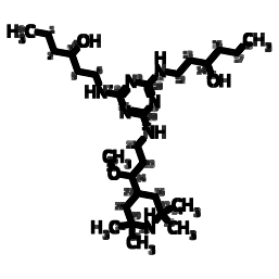 CCCC(O)CCNc1nc(NCCC(O)CCC)nc(NCCC(OC)C2CC(C)(C)NC(C)(C)C2)n1